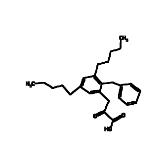 CCCCCc1cc(CCCCC)c(Cc2ccccc2)c(CC(=O)C(=O)O)c1